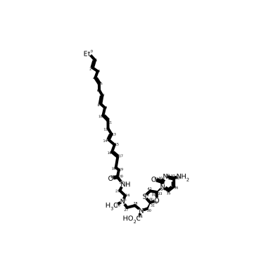 CCC=CCC=CCC=CCC=CCC=CCC=CCCC(=O)NCCN(C)CCN(C[C@@H]1O[C@H](n2ccc(N)nc2=O)CS1)C(=O)O